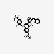 O=C(O)Cc1ccc2c(c1)c(=O)c(-c1noc(Cc3ccccc3)n1)cn2Cc1ccc(C(F)(F)F)cc1F